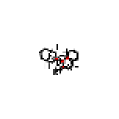 CC1C[C@@H]2CC(N3[C@@H]4CCC[C@H]3CC(n3c(Br)nc5ccccc53)C4)C[C@H](C1)C2